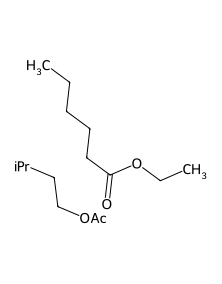 CC(=O)OCCC(C)C.CCCCCC(=O)OCC